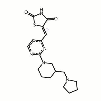 O=C1NC(=O)/C(=C/c2ccnc(N3CCCC(CN4CCCC4)C3)n2)S1